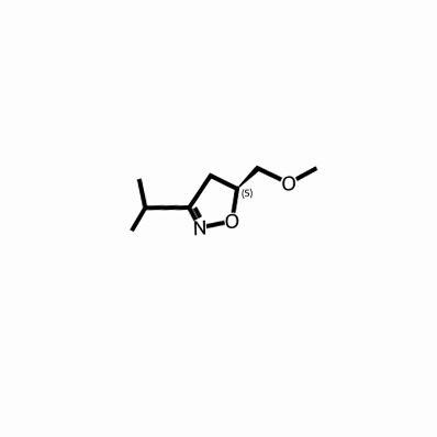 COC[C@@H]1CC(C(C)C)=NO1